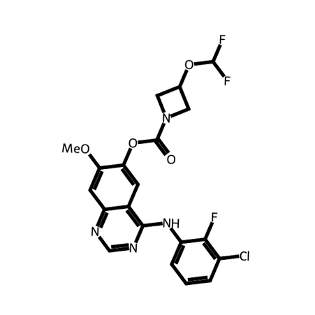 COc1cc2ncnc(Nc3cccc(Cl)c3F)c2cc1OC(=O)N1CC(OC(F)F)C1